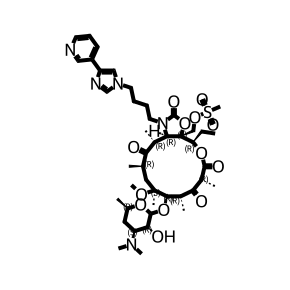 CC[C@H]1OC(=O)[C@H](C)C(=O)[C@H](C)[C@@H](OC2O[C@H](C)C[C@H](N(C)C)[C@H]2O)[C@@](C)(OC)C[C@@H](C)C(=O)[C@H](C)[C@H]2N(CCCCn3cnc(-c4cccnc4)c3)C(=O)O[C@]12COS(C)(=O)=O